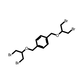 BrCC(CBr)OCc1ccc(COC(CBr)CBr)cc1